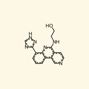 OCCNc1nc2c(-c3nc[nH]n3)cccc2c2cnccc12